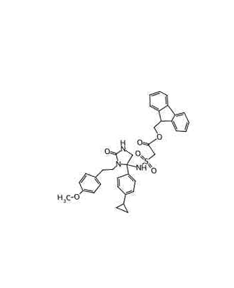 COc1ccc(CCN2C(=O)NCC2(NS(=O)(=O)CC(=O)OCC2c3ccccc3-c3ccccc32)c2ccc(C3CC3)cc2)cc1